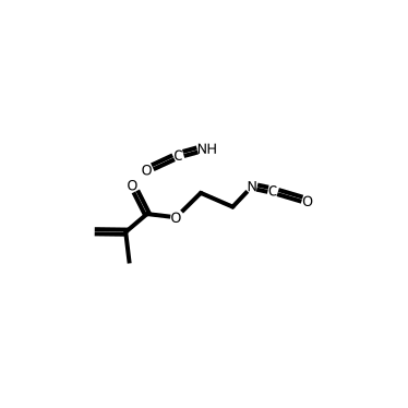 C=C(C)C(=O)OCCN=C=O.N=C=O